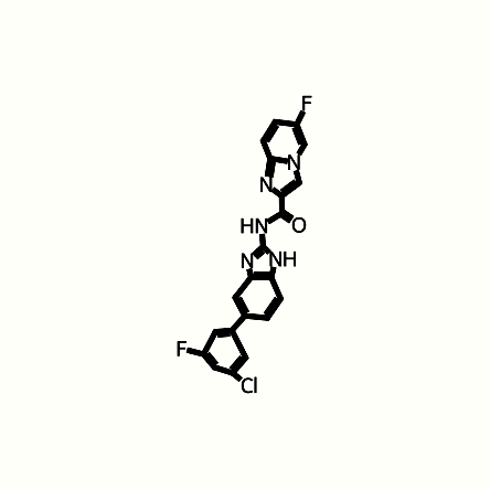 O=C(Nc1nc2cc(-c3cc(F)cc(Cl)c3)ccc2[nH]1)c1cn2cc(F)ccc2n1